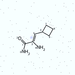 NC(=O)/C(N)=C/C1CCC1